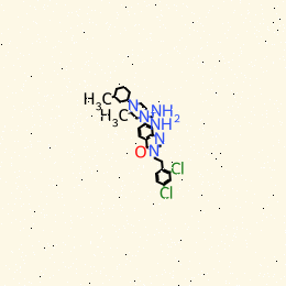 CC1CCCC(N2CC[N+](C(=N)N)(c3ccc4c(=O)n(CCc5ccc(Cl)cc5Cl)cnc4c3)C[C@@H]2C)C1